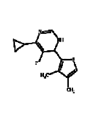 Cc1csc(C2NC=NC(C3CC3)=C2Cl)c1C